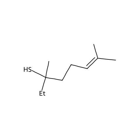 CCC(C)(S)CCC=C(C)C